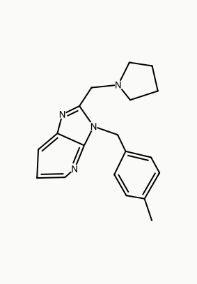 Cc1ccc(Cn2c(CN3CCCC3)nc3cccnc32)cc1